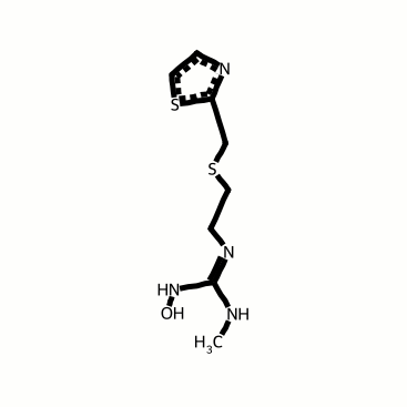 CN/C(=N/CCSCc1nccs1)NO